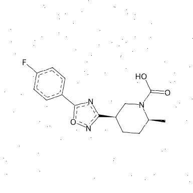 C[C@H]1CC[C@@H](c2noc(-c3ccc(F)cc3)n2)CN1C(=O)O